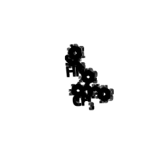 FC(F)(F)c1cccc2c(-c3cccc(NCc4csc5ccccc45)c3)c(Cc3ccccc3)cnc12